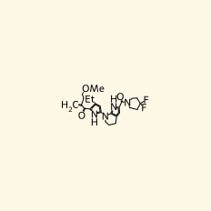 C=C(CCOC)C(=O)c1[nH]c(N2CCCc3cc(C(=O)N4CCC(F)(F)CC4)[nH]c32)cc1CC